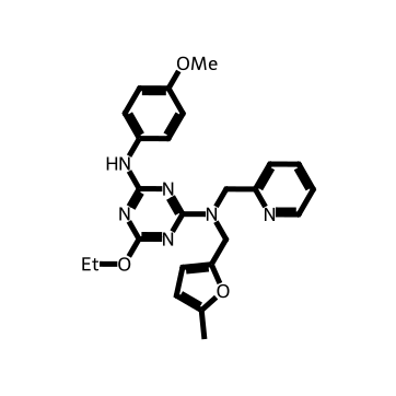 CCOc1nc(Nc2ccc(OC)cc2)nc(N(Cc2ccccn2)Cc2ccc(C)o2)n1